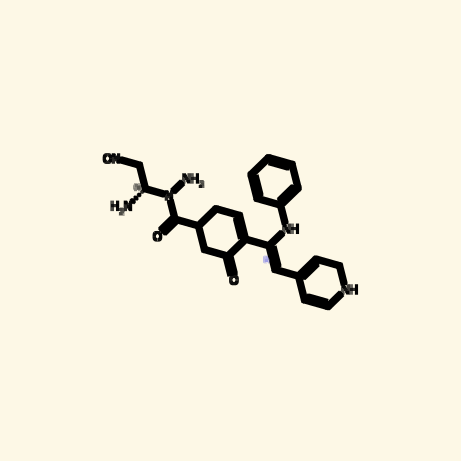 N[C@H](CN=O)N(N)C(=O)C1CC=C(/C(=C/C2=CCNC=C2)Nc2ccccc2)C(=O)C1